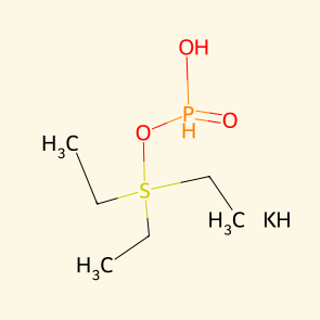 CCS(CC)(CC)O[PH](=O)O.[KH]